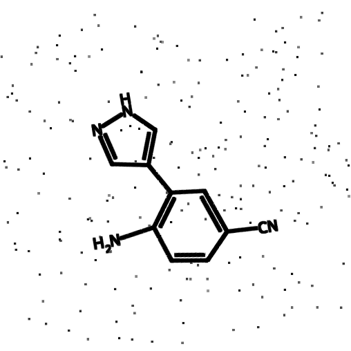 N#Cc1ccc(N)c(-c2cn[nH]c2)c1